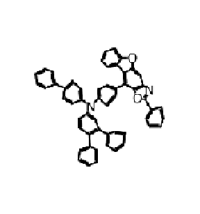 c1ccc(-c2ccc(N(c3ccc(-c4c5oc(-c6ccccc6)nc5cc5oc6ccccc6c45)cc3)c3ccc(-c4ccccc4)c(-c4ccccc4)c3)cc2)cc1